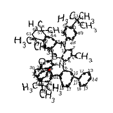 Cc1cc2c3c(c1)N(c1cc(-c4ccccc4)ccc1-c1ccccc1)c1c(oc4ccc(C(C)(C)C)cc14)B3c1cc3c(cc1N2c1ccc(C(C)(C)C)cc1)C(C)(C)CCC3(C)C